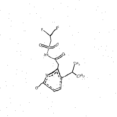 CC(C)c1ccc(Cl)nc1C(=O)NS(=O)(=O)C(F)F